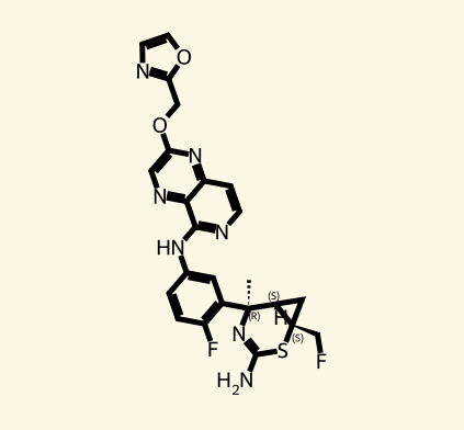 C[C@@]1(c2cc(Nc3nccc4nc(OCc5ncco5)cnc34)ccc2F)N=C(N)S[C@@]2(CF)C[C@H]21